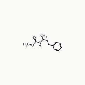 COC(=O)NC(C)CCc1ccccc1